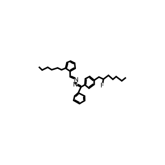 CCCCCCc1ccccc1C=NN=C(c1ccccc1)c1ccc(CC(F)CCCCC)cc1